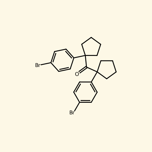 O=C(C1(c2ccc(Br)cc2)CCCC1)C1(c2ccc(Br)cc2)CCCC1